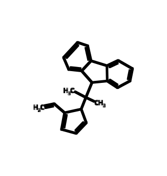 C=CC1=CC=CC1C(C)(C)C1c2ccccc2-c2ccccc21